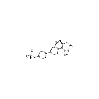 CC(=O)Cc1nnc2cc(-c3ccc(C[SH](=O)=O)cc3)ccc2c1NC(C)C